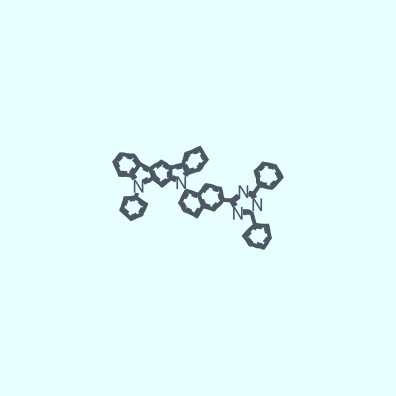 c1ccc(-c2nc(-c3ccccc3)nc(-c3ccc4c(-n5c6ccccc6c6cc7c8ccccc8n(-c8ccccc8)c7cc65)cccc4c3)n2)cc1